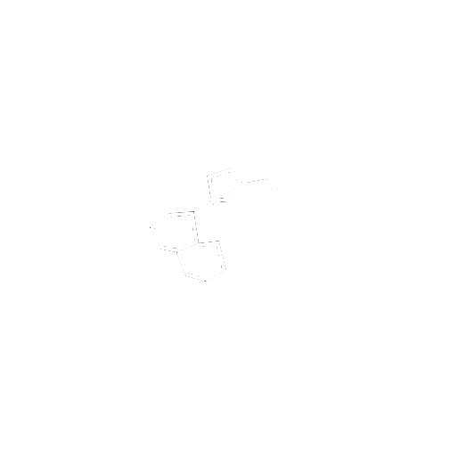 C=Cn1cc[n+](-c2cccc3ccccc23)c1